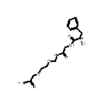 C[C@@H](Cc1ccccc1)C(=O)NCC(=O)NCOCCOCC(N)=O